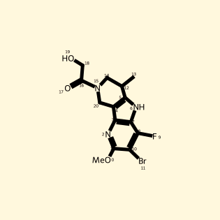 COc1nc2c3c([nH]c2c(F)c1Br)C(C)CN(C(=O)CO)C3